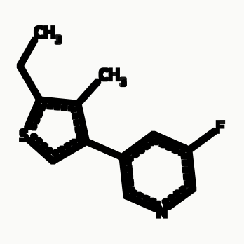 CCc1scc(-c2cncc(F)c2)c1C